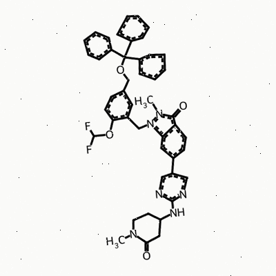 CN1CCC(Nc2ncc(-c3ccc4c(=O)n(C)n(Cc5cc(COC(c6ccccc6)(c6ccccc6)c6ccccc6)ccc5OC(F)F)c4c3)cn2)CC1=O